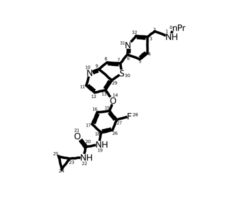 CCCNCc1ccc(-c2cc3nccc(Oc4ccc(NC(=O)NC5CC5)cc4F)c3s2)nc1